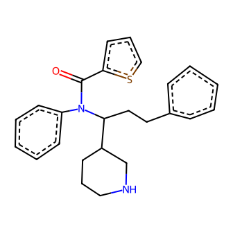 O=C(c1cccs1)N(c1ccccc1)C(CCc1ccccc1)C1CCCNC1